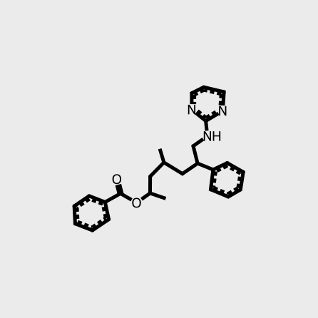 CC(CC(C)OC(=O)c1ccccc1)CC(CNc1ncccn1)c1ccccc1